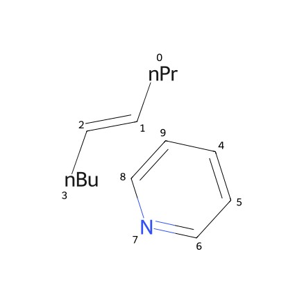 CCCC=CCCCC.c1ccncc1